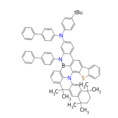 CC(C)(C)c1ccc(N(c2ccc(-c3ccccc3)cc2)c2ccc3c(c2)N(c2ccc(-c4ccccc4)cc2)B2c4cccc5c4N(c4cc6c(cc4C5(C)C)C(C)(C)CCC6(C)C)c4c2c-3cc2c4sc3ccccc32)cc1